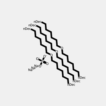 CCCCCCCCCCCCCCCCOCCCCCCCCCCCCCCCC.CCCCCCCCCCCCCCCCOCCCCCCCCCCCCCCCC.CCCCCCCCCCCCCCCCOCCCCCCCCCCCCCCCC.O=P([O-])([O-])[O-].[Na+].[Na+].[Na+]